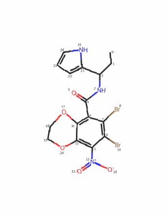 CCC(NC(=O)c1c(Br)c(Br)c([N+](=O)[O-])c2c1OCCO2)c1ccc[nH]1